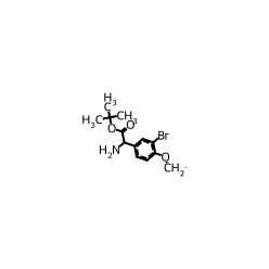 [CH2]Oc1ccc(C(N)C(=O)OC(C)(C)C)cc1Br